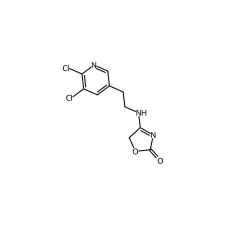 O=C1N=C(NCCc2cnc(Cl)c(Cl)c2)CO1